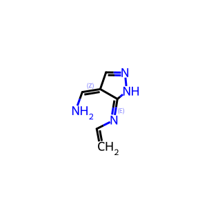 C=C/N=C1/NN=C/C1=C/N